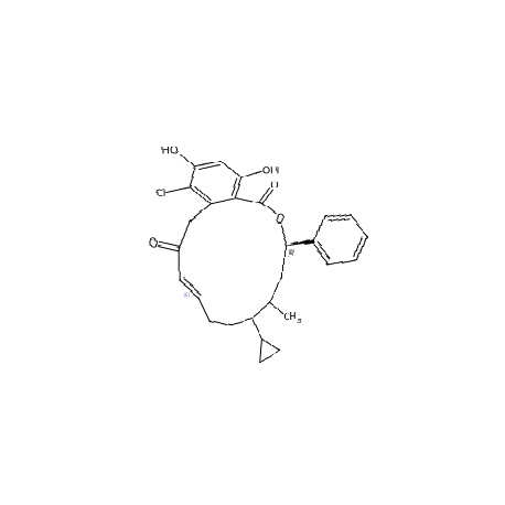 CC1C[C@H](c2ccccc2)OC(=O)c2c(O)cc(O)c(Cl)c2CC(=O)/C=C/CCC1C1CC1